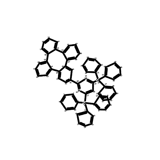 c1ccc([Si](c2ccccc2)(c2ccccc2)c2cc([Si](c3ccccc3)(c3ccccc3)c3ccccc3)nc(-c3ccc4c(c3)-c3ccccc3-c3ccccc3-c3ccccc3-4)n2)cc1